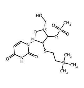 C[Si](C)(C)CCSC1C(OS(C)(=O)=O)[C@@H](CO)O[C@H]1n1ccc(=O)[nH]c1=O